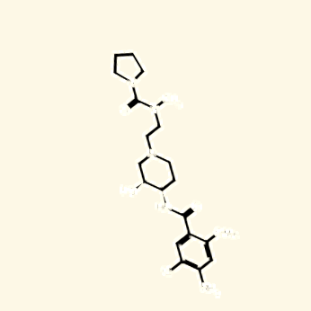 COc1cc(N)c(Cl)cc1C(=O)N[C@@H]1CCN(CCN(C)C(=O)N2CCCC2)C[C@@H]1O